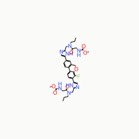 CCCN(Cc1ncc(-c2ccc3c(c2)COc2c-3ccc(-c3cnc(CN(CCC)C(=O)CNC(=O)OC)[nH]3)c2F)[nH]1)C(=O)CNC(=O)OC